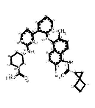 Cc1ccc2c(NC(=O)[C@@H]3CC34CCC4)c(F)ccc2c1Oc1ncccc1-c1ccnc(N[C@H]2CCCN(C(=O)O)C2)n1